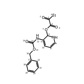 CCC(=O)C(=O)OC1NC=CC=C1NC(=O)OCc1ccccc1